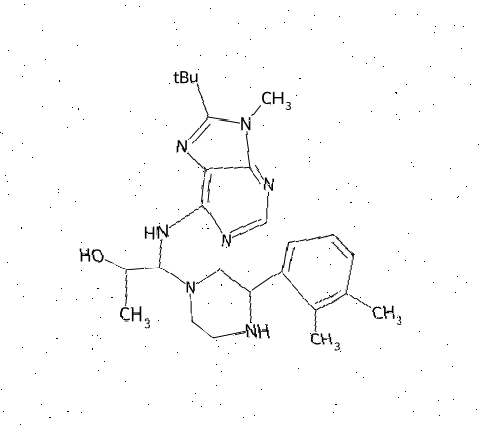 Cc1cccc(C2CN(C(Nc3ncnc4c3nc(C(C)(C)C)n4C)C(C)O)CCN2)c1C